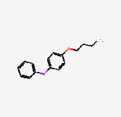 CCCCOc1ccc([I+]c2ccccc2)cc1